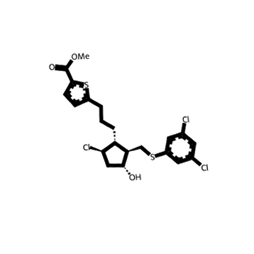 COC(=O)c1ccc(CCC[C@@H]2[C@@H](CSc3cc(Cl)cc(Cl)c3)[C@H](O)C[C@H]2Cl)s1